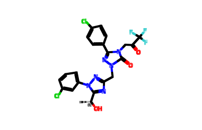 C[C@@H](O)c1nc(Cn2nc(-c3ccc(Cl)cc3)n(CC(=O)C(F)(F)F)c2=O)nn1-c1cccc(Cl)c1